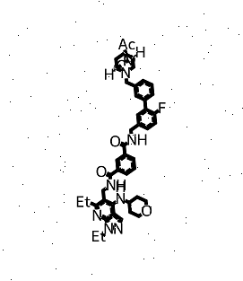 CCc1nc2c(cnn2CC)c(NC2CCOCC2)c1CNC(=O)c1cccc(C(=O)NCc2ccc(F)c(-c3cccc(CN4C[C@@H]5CC[C@H]4CN5C(C)=O)c3)c2)c1